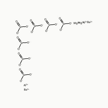 O=[Si]([O-])[O-].O=[Si]([O-])[O-].O=[Si]([O-])[O-].O=[Si]([O-])[O-].O=[Si]([O-])[O-].O=[Si]([O-])[O-].O=[Si]([O-])[O-].[Al+3].[Al+3].[Ba+2].[Ba+2].[Mg+2].[Mg+2]